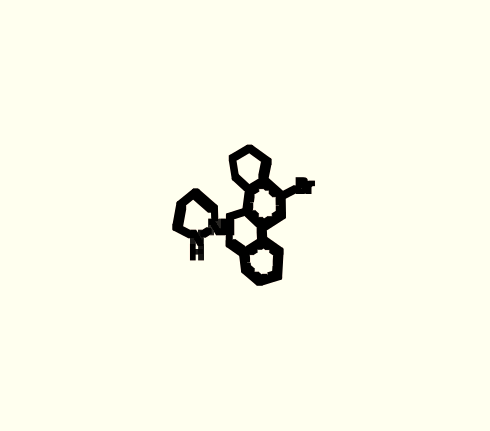 Brc1cc2c(c3c1=CCCC3)CC=c1ccccc1=2.C1=CNNC=C1